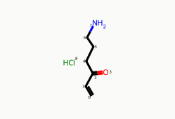 C=CC(=O)CCCN.Cl